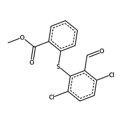 COC(=O)c1ccccc1Sc1c(Cl)ccc(Cl)c1C=O